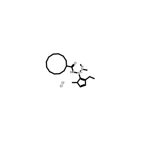 CCC1=[C]([Ti+2]([NH]C(=O)C2CCCCCCCCCCC2)[SiH](C)C)C(C)C=C1.[Cl-].[Cl-]